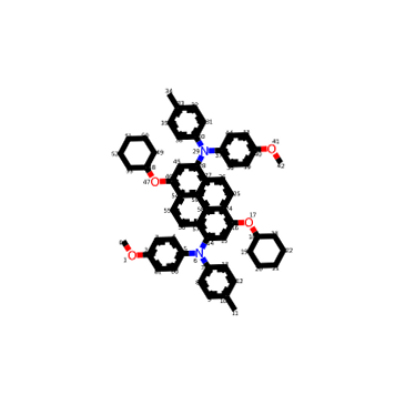 COc1ccc(N(c2ccc(C)cc2)c2cc(OC3CCCCC3)c3ccc4c(N(c5ccc(C)cc5)c5ccc(OC)cc5)cc(OC5CCCCC5)c5ccc2c3c54)cc1